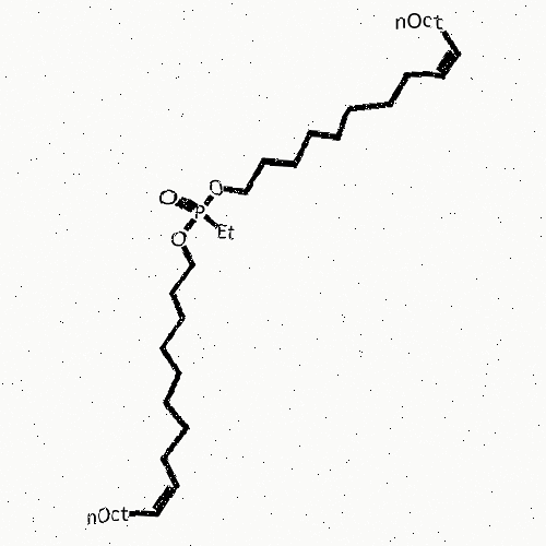 CCCCCCCC/C=C\CCCCCCCCOP(=O)(CC)OCCCCCCCC/C=C\CCCCCCCC